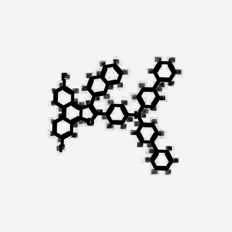 Fc1ccc2c3ccc(F)cc3c3c(-c4ccc5ccccc5c4)c(-c4ccc(N(c5ccc(-c6ccccc6)cc5)c5ccc(-c6ccccc6)cc5)cc4)oc3c2c1